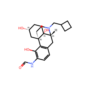 O=CNc1ccc2c(c1O)[C@]13CCN(CC4CCC4)[C@H](C2)[C@]1(O)CC[C@@H](O)C3